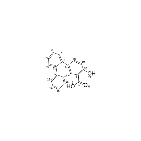 O=C(O)c1cc(-c2ccccc2-c2ccccc2)ccc1O